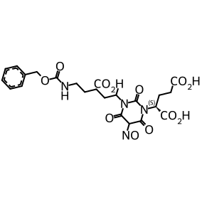 O=NC1C(=O)N(C(CCCCNC(=O)OCc2ccccc2)C(=O)O)C(=O)N([C@@H](CCC(=O)O)C(=O)O)C1=O